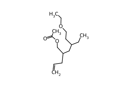 C=CCC(COC(C)=O)CC(CC)CCOCC